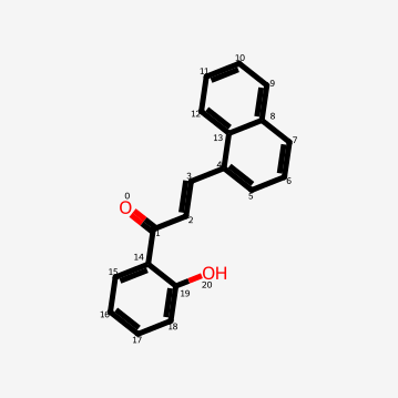 O=C(C=Cc1cccc2ccccc12)c1ccccc1O